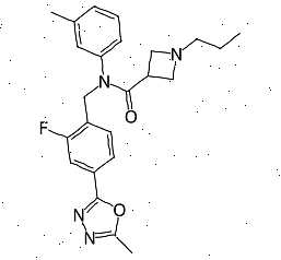 CCCN1CC(C(=O)N(Cc2ccc(-c3nnc(C)o3)cc2F)c2cccc(C)c2)C1